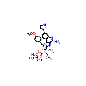 CCN(C(=O)OC(C)(C)C)C(C)(C)c1nc2c(N)nc3cc(-c4cc[nH]n4)ccc3c2n1Cc1ccc(OC)cc1